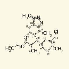 CCOC(=O)C(C)[C@H](c1ccc(C)c(CCl)c1)c1ccc2c(nnn2C)c1C